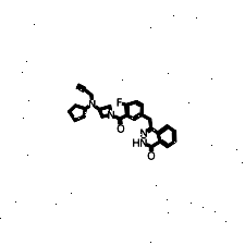 C#CCN(C1CCCC1)C1CN(C(=O)c2cc(Cc3n[nH]c(=O)c4ccccc34)ccc2F)C1